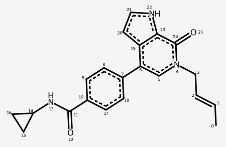 CC=CCn1cc(-c2ccc(C(=O)NC3CC3)cc2)c2cc[nH]c2c1=O